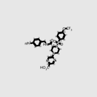 CCCc1ccc(CNC(=O)[C@H]2CN(c3cnc(C(=O)O)cn3)CCN2S(=O)(=O)c2ccc(OC(F)(F)F)cc2)cc1